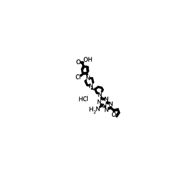 Cl.Nc1nc(N2CCC[C@@H](CN3CCN(c4ccc(C(=O)O)cc4Cl)CC3)C2)nc2nc(-c3ccco3)nn12